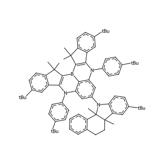 CC(C)(C)c1ccc(N2C3=C(B4C5=C(c6cc(C(C)(C)C)ccc6C5(C)C)N(c5ccc(C(C)(C)C)cc5)c5cc(N6c7ccc(C(C)(C)C)cc7C7(C)CCc8ccccc8C67C)cc2c54)C(C)(C)c2ccc(C(C)(C)C)cc23)cc1